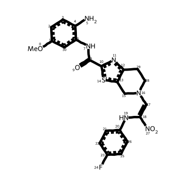 COc1ccc(N)c(NC(=O)c2nc3c(s2)CN(C=C(Nc2ccc(F)cc2)[N+](=O)[O-])CC3)c1